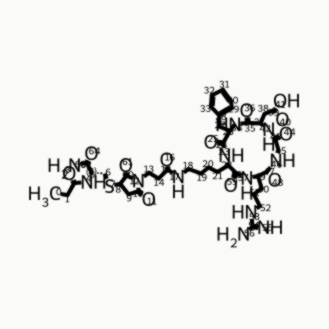 CCC(=O)N[C@@H](CSC1CC(=O)N(CCC(=O)NCCCCC2NC(=O)C(Cc3ccccc3)NC(=O)C(CC(=O)O)NC(=O)CNC(=O)C(CCCNC(=N)N)NC2=O)C1=O)C(N)=O